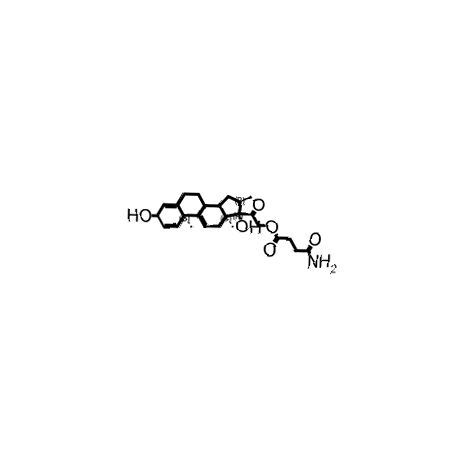 C[C@@H]1CC2C3CCC4=CC(O)C=C[C@]4(C)C3=CC[C@]2(C)[C@@]1(O)C(=O)COC(=O)CCC(N)=O